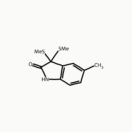 CSC1(SC)C(=O)Nc2ccc(C)cc21